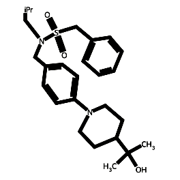 CC(C)CN(Cc1ccc(N2CCC(C(C)(C)O)CC2)cc1)S(=O)(=O)Cc1ccccc1